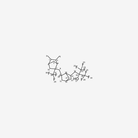 CC1C2CC(C1C)C(CC1(C)CC3CC(CC(O)(C(F)(F)F)C(F)(F)F)C1C3)(C(F)(F)F)C2